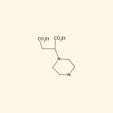 CCOC(=O)CC(C(=O)OCC)N1CC[N]CC1